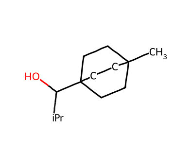 CC(C)C(O)C12CCC(C)(CC1)CC2